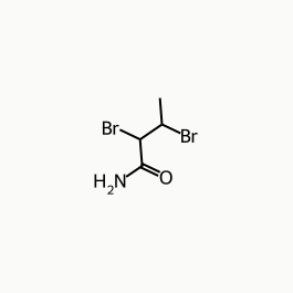 CC(Br)C(Br)C(N)=O